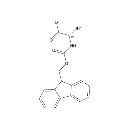 CC(C)[C@H](NC(=O)OCC1c2ccccc2-c2ccccc21)C([O])=O